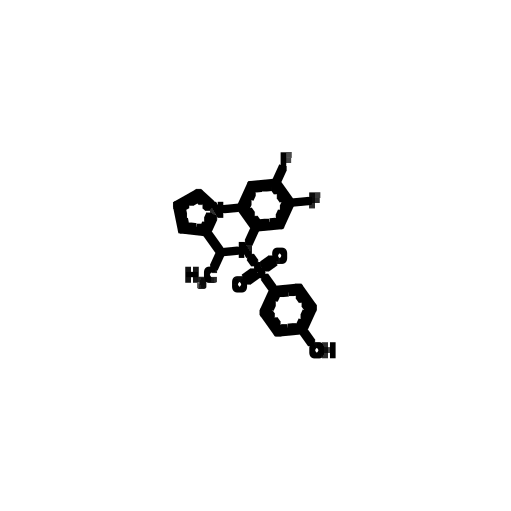 CC1c2cccn2-c2cc(F)c(F)cc2N1S(=O)(=O)c1ccc(O)cc1